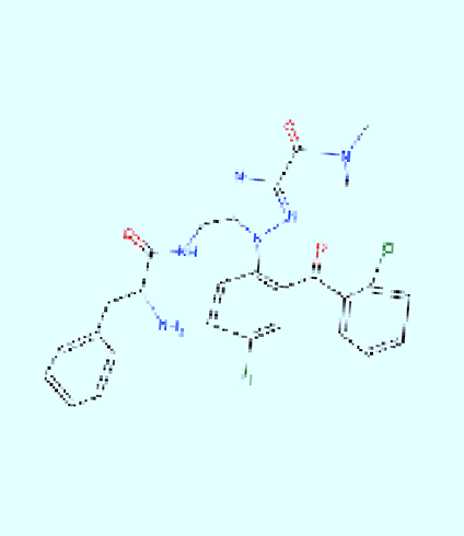 CN(C)C(=O)c1nc(CNC(=O)[C@H](N)Cc2ccccc2)n(-c2ccc(Cl)cc2C(=O)c2ccccc2Cl)n1